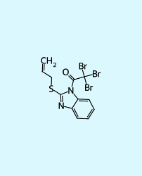 C=CCSc1nc2ccccc2n1C(=O)C(Br)(Br)Br